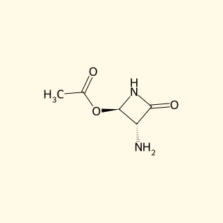 CC(=O)O[C@H]1NC(=O)[C@@H]1N